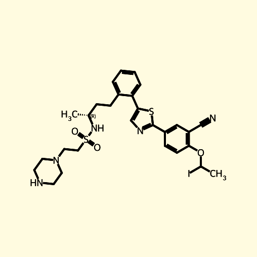 CC(I)Oc1ccc(-c2ncc(-c3ccccc3CC[C@@H](C)NS(=O)(=O)CCN3CCNCC3)s2)cc1C#N